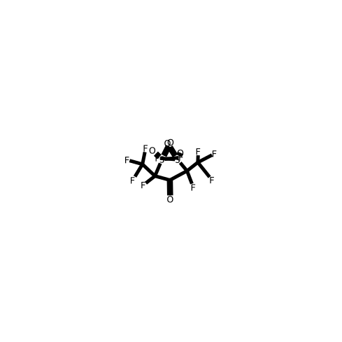 O=C(C(F)(C(F)(F)F)S(=O)(=O)F)C(F)(C(F)(F)F)S(=O)(=O)F